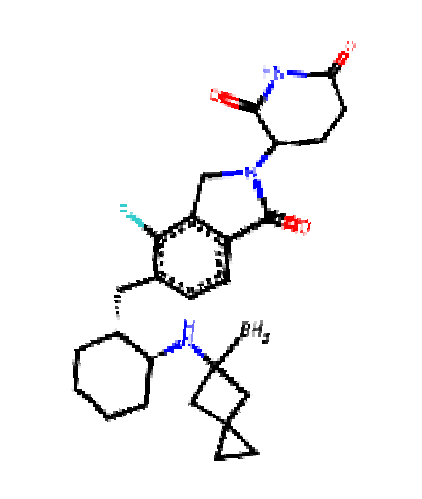 BC1(N[C@H]2CCCC[C@@H]2Cc2ccc3c(c2F)CN(C2CCC(=O)NC2=O)C3=O)CC2(CC2)C1